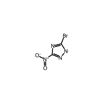 O=[N+]([O-])C1=N[N]C(Br)=N1